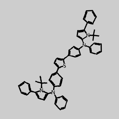 CC(C)(C)n1c(-c2ccccc2)ccc1N(c1ccccc1)c1ccc(-c2ccc(-c3ccc(N(c4ccccc4)c4ccc(-c5ccccc5)n4C(C)(C)C)cc3)s2)cc1